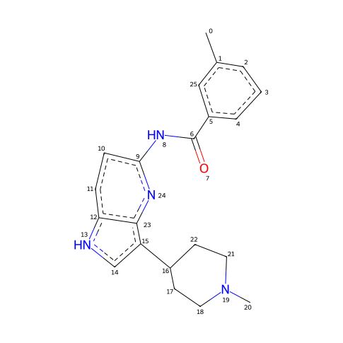 Cc1cccc(C(=O)Nc2ccc3[nH]cc(C4CCN(C)CC4)c3n2)c1